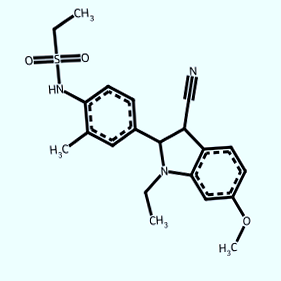 CCN1c2cc(OC)ccc2C(C#N)C1c1ccc(NS(=O)(=O)CC)c(C)c1